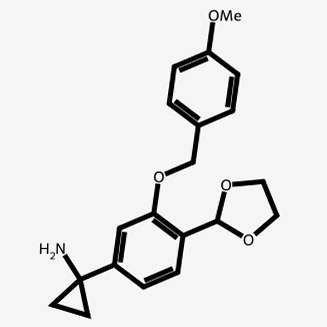 COc1ccc(COc2cc(C3(N)CC3)ccc2C2OCCO2)cc1